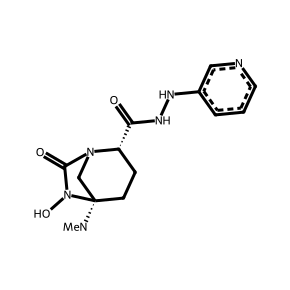 CN[C@@]12CC[C@@H](C(=O)NNc3cccnc3)N(C1)C(=O)N2O